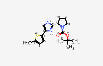 Cc1ccc(-c2c[nH]c([C@@H]3CCCN3C(=O)OC(C)(C)C)n2)s1